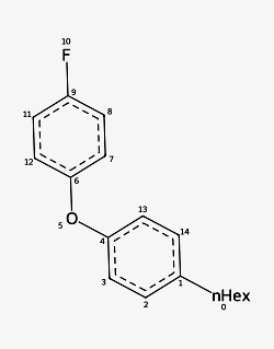 [CH2]CCCCCc1ccc(Oc2ccc(F)cc2)cc1